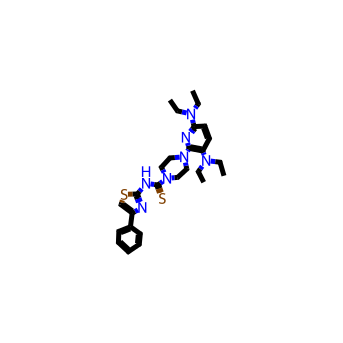 CCN(CC)c1ccc(N(CC)CC)c(N2CCN(C(=S)Nc3nc(-c4ccccc4)cs3)CC2)n1